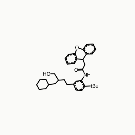 CC(C)(C)c1ccc(CCC(CO)CC2CCCCC2)cc1NC(=O)CC1c2ccccc2Oc2ccccc21